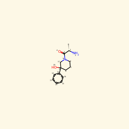 C[C@H](N)C(=O)N1CCCC(O)(c2ccccc2)C1